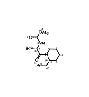 COC(=O)N[C@H](C(=O)N1CCCC[C@H]1CC(C)C)C(C)C